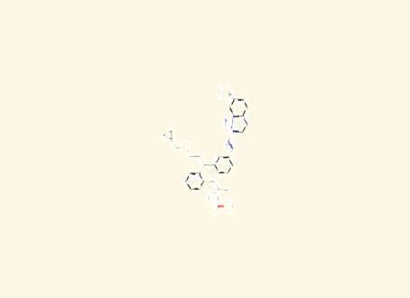 CC(=O)OC(C)Cc1ccccc1C(CCSCC1CC1)c1cccc(/C=C/c2ccc3ccc(Cl)cc3n2)c1